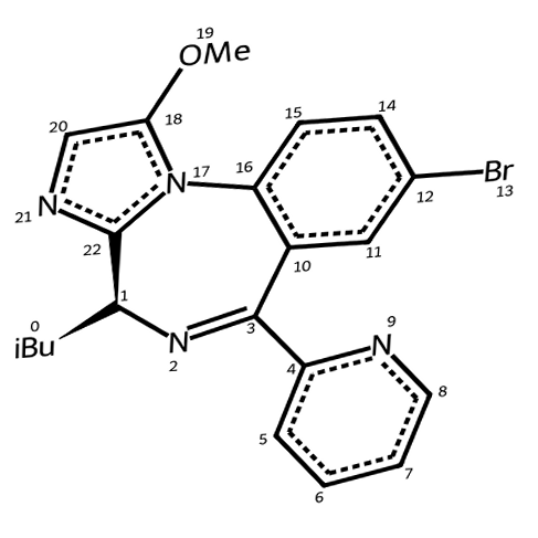 CC[C@H](C)[C@@H]1N=C(c2ccccn2)c2cc(Br)ccc2-n2c(OC)cnc21